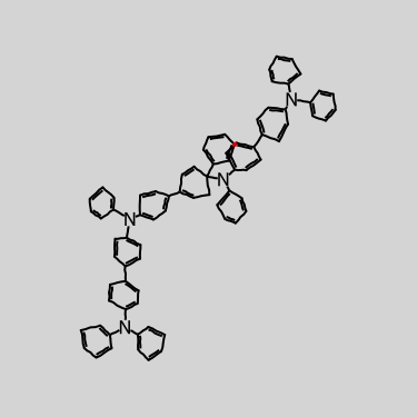 C1=CC(c2ccccc2)(N(c2ccccc2)c2ccc(-c3ccc(N(c4ccccc4)c4ccccc4)cc3)cc2)CC=C1c1ccc(N(c2ccccc2)c2ccc(-c3ccc(N(c4ccccc4)c4ccccc4)cc3)cc2)cc1